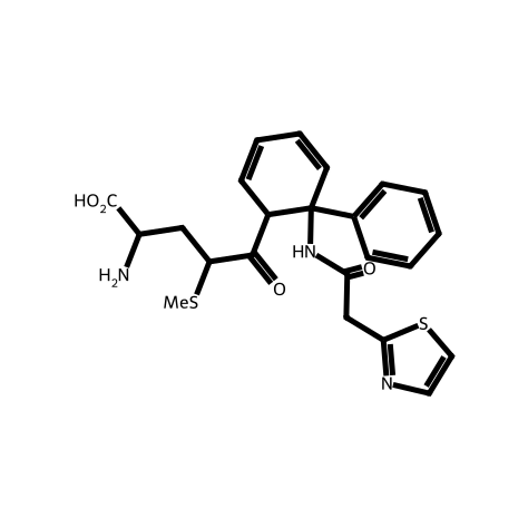 CSC(CC(N)C(=O)O)C(=O)C1C=CC=CC1(NC(=O)Cc1nccs1)c1ccccc1